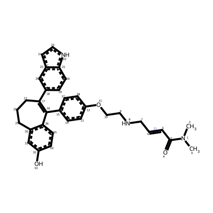 CN(C)C(=O)/C=C/CNCCOc1ccc(C2=C(c3ccc4[nH]ccc4c3)CCCc3cc(O)ccc32)cc1